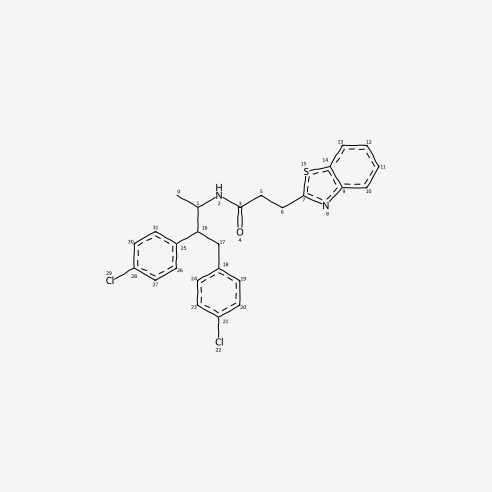 CC(NC(=O)CCc1nc2ccccc2s1)C(Cc1ccc(Cl)cc1)c1ccc(Cl)cc1